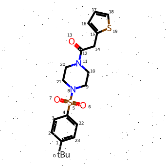 CC(C)(C)c1ccc(S(=O)(=O)N2CCN(C(=O)Cc3cccs3)CC2)cc1